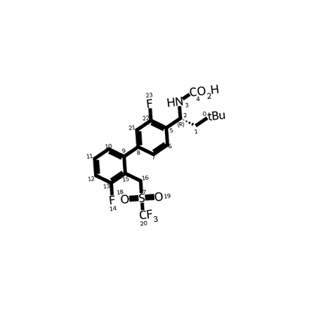 CC(C)(C)C[C@@H](NC(=O)O)c1ccc(-c2cccc(F)c2CS(=O)(=O)C(F)(F)F)cc1F